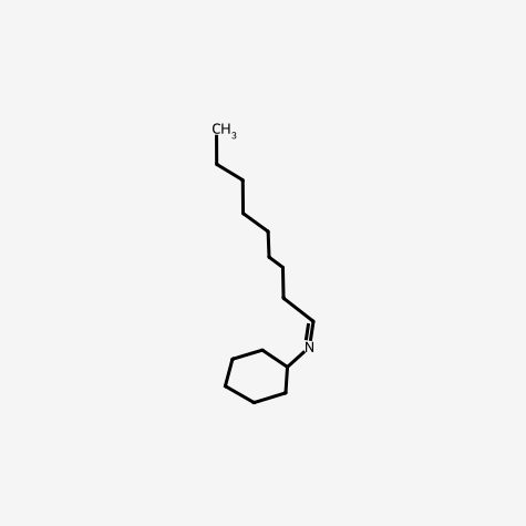 CCCCCCCC/C=N\C1CCCCC1